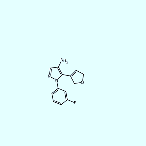 Nc1cnn(-c2cccc(F)c2)c1C1=CCOC1